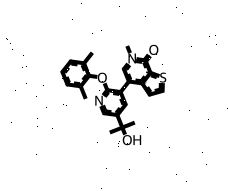 Cc1cccc(C)c1Oc1ncc(C(C)(C)O)cc1-c1cn(C)c(=O)c2sccc12